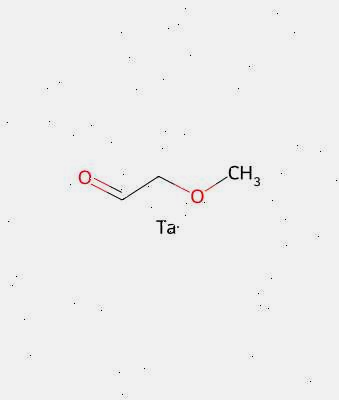 COCC=O.[Ta]